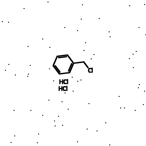 Cl.Cl.ClCc1ccccc1